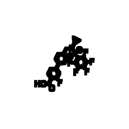 O=C(O)c1ccc(-c2ccc(CN(C3CC3)S(=O)(=O)c3c(F)c(F)c(F)c(F)c3F)cc2)cc1F